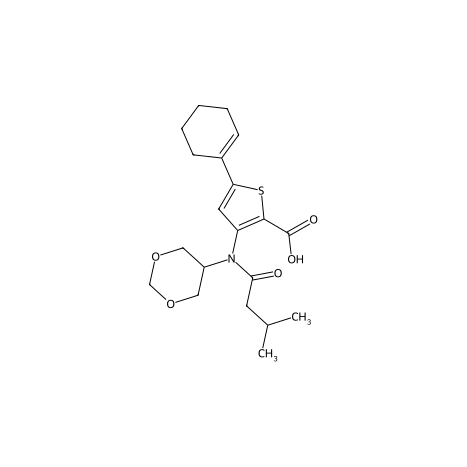 CC(C)CC(=O)N(c1cc(C2=CCCCC2)sc1C(=O)O)C1COCOC1